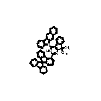 CC1(C)C2=C(c3ccccc31)C(n1c3ccccc3c3cc4ccccc4cc31)NC(c1cccc3c1-c1ccccc1C31c3ccccc3-c3ccccc31)=N2